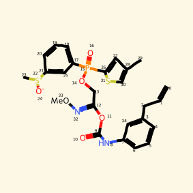 C=CCc1cccc(NC(=O)OC(COP(=O)(c2cccc([S+](C)[O-])c2)c2cc(C)cs2)=NOC)c1